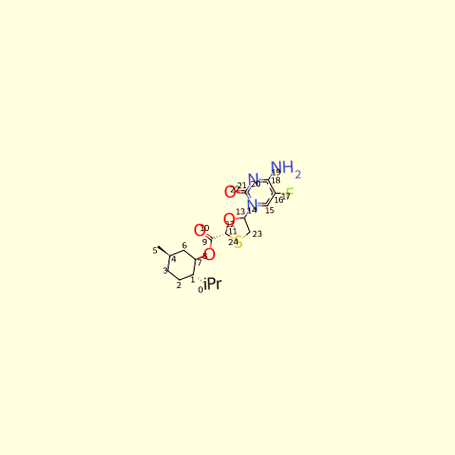 CC(C)[C@@H]1CC[C@@H](C)C[C@H]1OC(=O)[C@@H]1OC(n2cc(F)c(N)nc2=O)CS1